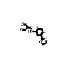 O=CC(C=O)=CNc1cccc(C2OCCO2)c1